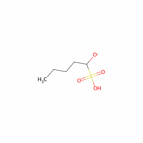 CCCCC([O])S(=O)(=O)O